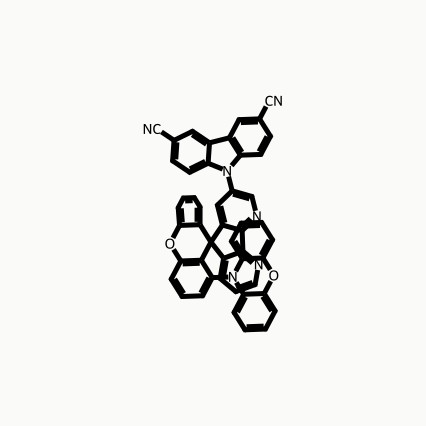 N#Cc1ccc2c(c1)c1cc(C#N)ccc1n2-c1cnc2c(c1)C1(c3ccccc3Oc3cccc(N4c5ccccc5Oc5ccccc54)c31)c1cccnc1-2